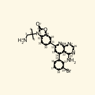 CC(C)(CN)n1c(=O)oc2cc(-c3cc(-c4cccc(Br)c4)c4c(N)ncnc4n3)ccc21